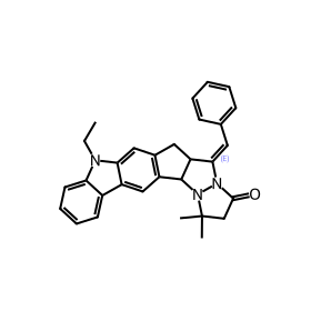 CCn1c2ccccc2c2cc3c(cc21)CC1/C(=C\c2ccccc2)N2C(=O)CC(C)(C)N2C31